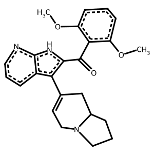 COc1cccc(OC)c1C(=O)c1[nH]c2ncccc2c1C1=CCN2CCCC2C1